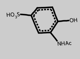 CC(=O)Nc1cc(S(=O)(=O)O)ccc1O